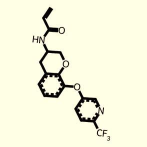 C=CC(=O)NC1COc2c(cccc2Oc2ccc(C(F)(F)F)nc2)C1